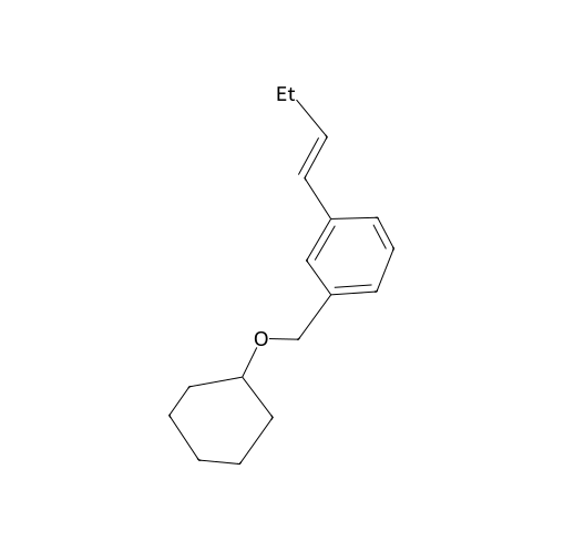 CC/C=C/c1cccc(COC2CCCCC2)c1